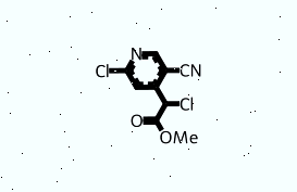 COC(=O)C(Cl)c1cc(Cl)ncc1C#N